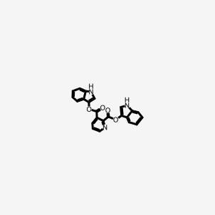 O=C(Oc1c[nH]c2ccccc12)c1cccnc1C(=O)Oc1c[nH]c2ccccc12